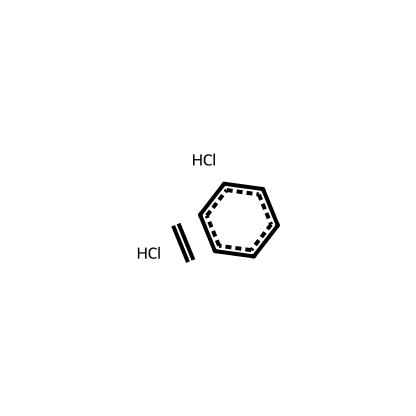 C=C.Cl.Cl.c1ccccc1